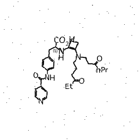 CCCC(=O)CCN(CCCC(=O)CC)C1=C(N[C@@H](Cc2ccc(NC(=O)c3ccncc3)cc2)C(=O)O)CC1